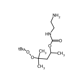 CC(CC(C)(C)OOC(C)(C)C)OC(=O)NCCN